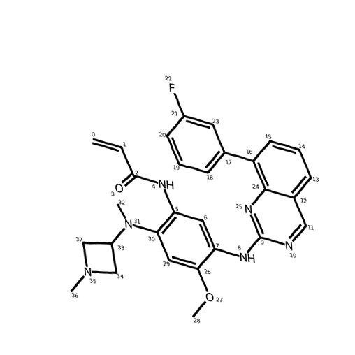 C=CC(=O)Nc1cc(Nc2ncc3cccc(-c4cccc(F)c4)c3n2)c(OC)cc1N(C)C1CN(C)C1